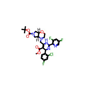 COC(=O)C1=C(CN2CCO[C@H]3CN(C(=O)OC(C)(C)C)C[C@H]32)NC(c2ncc(F)cc2F)=NC1c1ccc(F)cc1Cl